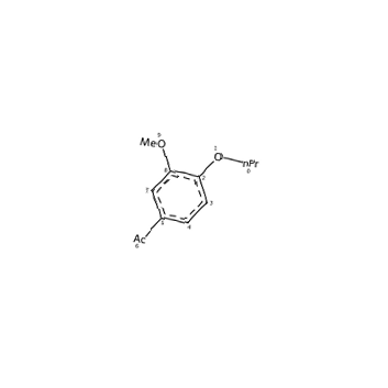 CCCOc1ccc(C(C)=O)cc1OC